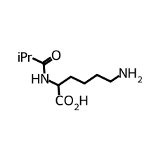 CC(C)C(=O)NC(CCCCN)C(=O)O